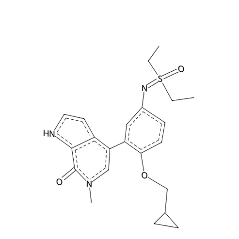 CCS(=O)(CC)=Nc1ccc(OCC2CC2)c(-c2cn(C)c(=O)c3[nH]ccc23)c1